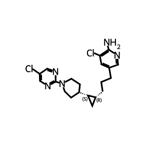 Nc1ncc(CCC[C@@H]2C[C@@H]2C2CCN(c3ncc(Cl)cn3)CC2)cc1Cl